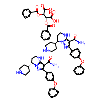 NC(=O)c1c(-c2ccc(Oc3ccccc3)cc2)nn2c1NCC[C@H]2C1CCNCC1.NC(=O)c1c(-c2ccc(Oc3ccccc3)cc2)nn2c1NCC[C@H]2C1CCNCC1.O=C(O[C@@H](C(=O)O)[C@@H](OC(=O)c1ccccc1)C(=O)O)c1ccccc1